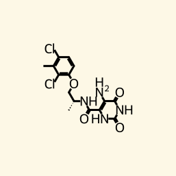 Cc1c(Cl)ccc(OC[C@@H](C)NC(=O)c2[nH]c(=O)[nH]c(=O)c2N)c1Cl